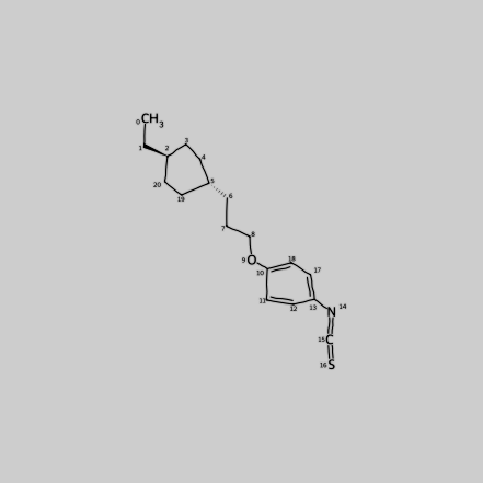 CC[C@H]1CC[C@H](CCCOc2ccc(N=C=S)cc2)CC1